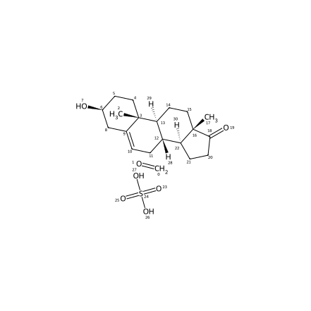 C=O.C[C@]12CC[C@H](O)CC1=CC[C@@H]1[C@@H]2CC[C@]2(C)C(=O)CC[C@@H]12.O=S(=O)(O)O